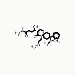 CNC(=O)CCC(C)[C@H]1CC[C@]2(CC[C@](c3ccccc3)(N(C)C)CC2)N(CCOC)C1=O